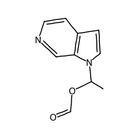 CC(OC=O)n1ccc2ccncc21